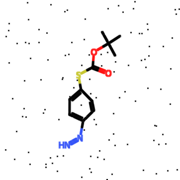 CC(C)(C)OC(=O)Sc1ccc(N=N)cc1